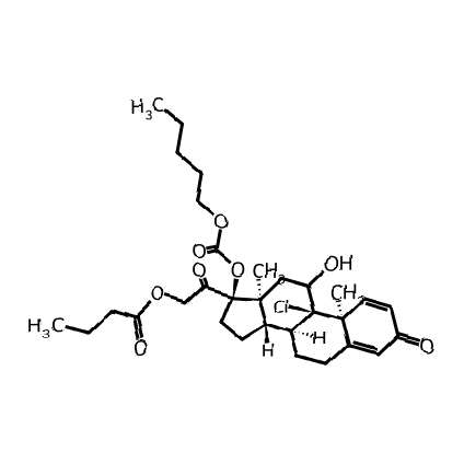 CCCCCOC(=O)O[C@]1(C(=O)COC(=O)CCC)CC[C@H]2[C@@H]3CCC4=CC(=O)C=C[C@]4(C)[C@@]3(Cl)C(O)C[C@@]21C